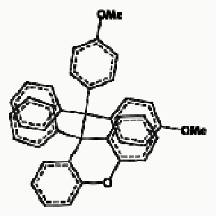 COc1ccc(C(c2ccccc2)(c2ccc(OC)cc2)C2(c3ccccc3)c3ccccc3Oc3ccccc32)cc1